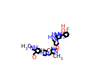 CNCc1ccc(N2CCN(Cc3c(C)nc(OC4CC5CNC(N)=C(/C=C(\N)c6cccc(F)c6O)N5C4)nc3C)CC2)cc1C=O